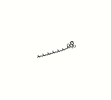 C=C(CC/C=C(\C)CC/C=C(\C)CC/C=C(\C)CC/C=C(\C)CC/C=C(\C)CCC=C(C)C)CC1=C(C)C(=O)c2ccccc2C1=O